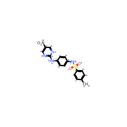 Cc1ccc(S(=O)(=O)Nc2ccc(Nc3ncc([N+](=O)[O-])cn3)cc2)cc1